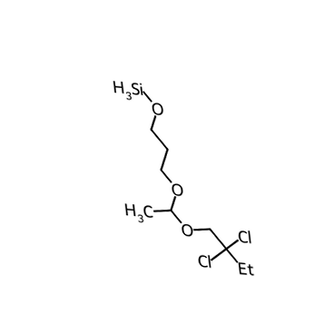 CCC(Cl)(Cl)COC(C)OCCCO[SiH3]